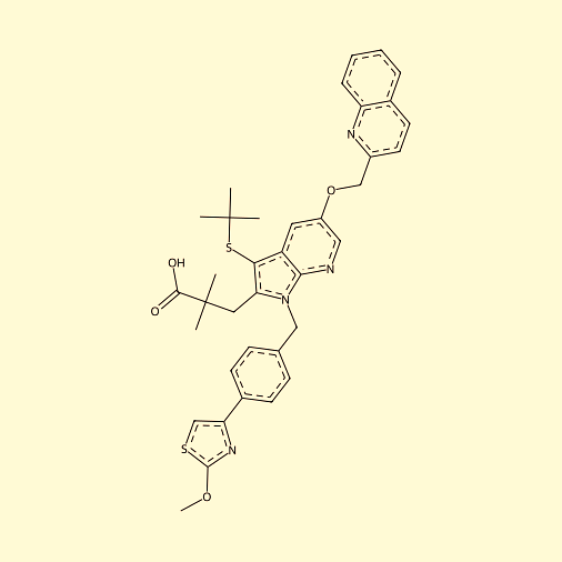 COc1nc(-c2ccc(Cn3c(CC(C)(C)C(=O)O)c(SC(C)(C)C)c4cc(OCc5ccc6ccccc6n5)cnc43)cc2)cs1